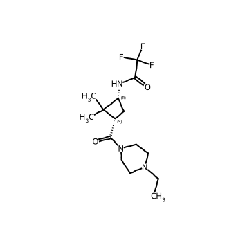 CCN1CCN(C(=O)[C@H]2C[C@@H](NC(=O)C(F)(F)F)C2(C)C)CC1